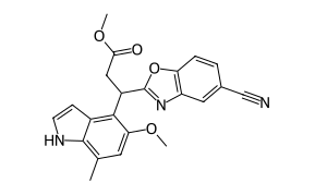 COC(=O)CC(c1nc2cc(C#N)ccc2o1)c1c(OC)cc(C)c2[nH]ccc12